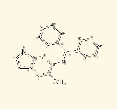 Cc1cn2ccnc2cc1N=C(c1ccccc1)c1ccccc1